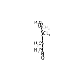 COC(=O)/C(C)=C/C=C/C(C)=C/C=C/C=C(C)/C=C/C=C(\C)COC=O